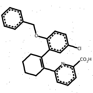 O=C(O)c1cccc(C2=C(c3cc(Cl)ccc3OCc3ccccc3)CCCC2)n1